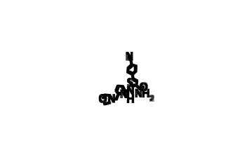 N#Cc1ccc(-c2cc(C(N)=O)c(Nc3cccc(CN4CCOCC4)n3)s2)cc1